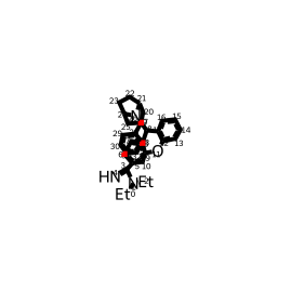 CCN(CC)C(=N)c1ccc2c(c1)Oc1ccccc1C2C1CC2CCC(C1)N2Cc1ccccc1